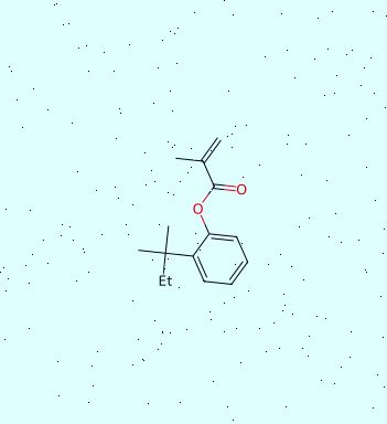 C=C(C)C(=O)Oc1ccccc1C(C)(C)CC